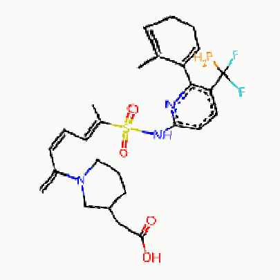 C=C(/C=C\C=C(/C)S(=O)(=O)Nc1ccc(C(F)(F)P)c(C2=CCCC=C2C)n1)N1CCCC(CC(=O)O)C1